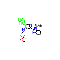 CSn1c(-c2nccc(N(C)CCN(C)C3(C)CC=CO3)c2C)nc2ccccc21.Cl.Cl.Cl